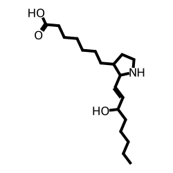 CCCCCC(O)/C=C/C1NCCC1CCCCCCC(=O)O